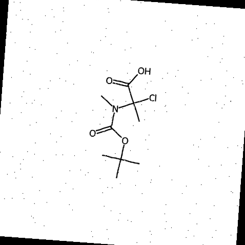 CN(C(=O)OC(C)(C)C)C(C)(Cl)C(=O)O